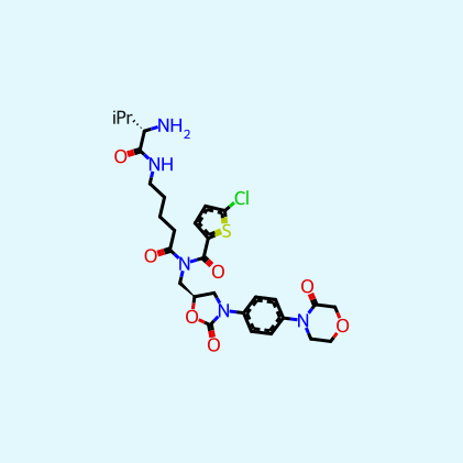 CC(C)[C@H](N)C(=O)NCCCCC(=O)N(C[C@H]1CN(c2ccc(N3CCOCC3=O)cc2)C(=O)O1)C(=O)c1ccc(Cl)s1